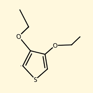 CCOc1[c]scc1OCC